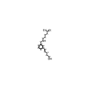 CCN(CC)CCCCNCc1cc(C=NCCCO)ccn1